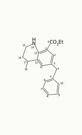 CCOC(=O)c1cc(Cc2ccccc2)cc2c1NCCC2C